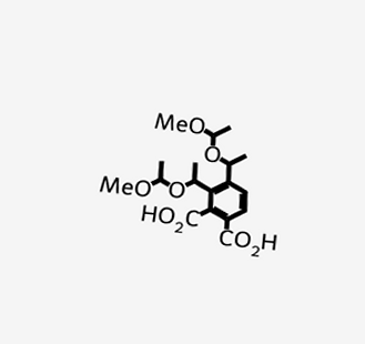 COC(C)OC(C)c1ccc(C(=O)O)c(C(=O)O)c1C(C)OC(C)OC